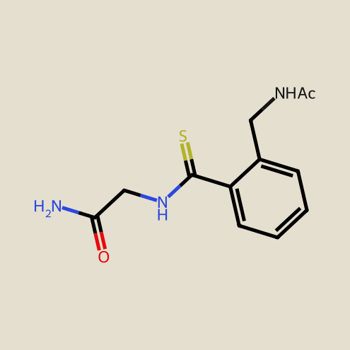 CC(=O)NCc1ccccc1C(=S)NCC(N)=O